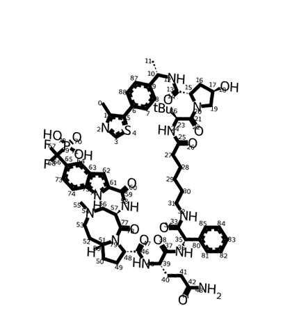 Cc1ncsc1-c1ccc([C@H](C)NC(=O)[C@@H]2C[C@@H](O)CN2C(=O)[C@@H](NC(=O)CCCCCNC(=O)[C@@H](NC(=O)[C@H](CCC(N)=O)NC(=O)[C@@H]2CC[C@@H]3CCN(C)C[C@H](NC(=O)c4cc5cc(C(F)(F)P(=O)(O)O)ccc5[nH]4)C(=O)N32)c2ccccc2)C(C)(C)C)cc1